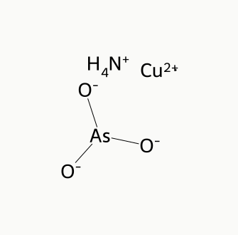 [Cu+2].[NH4+].[O-][As]([O-])[O-]